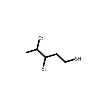 CCC(C)C(CC)CCS